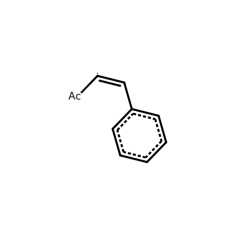 CC(=O)/[C]=C\c1ccccc1